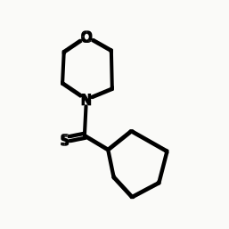 S=C(C1CCCCC1)N1CCOCC1